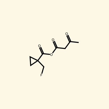 CC(=O)CC(=O)OC(=O)C1(CF)CC1